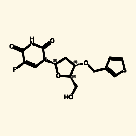 O=c1[nH]c(=O)n([C@H]2C[C@H](OCc3ccsc3)[C@@H](CO)O2)cc1F